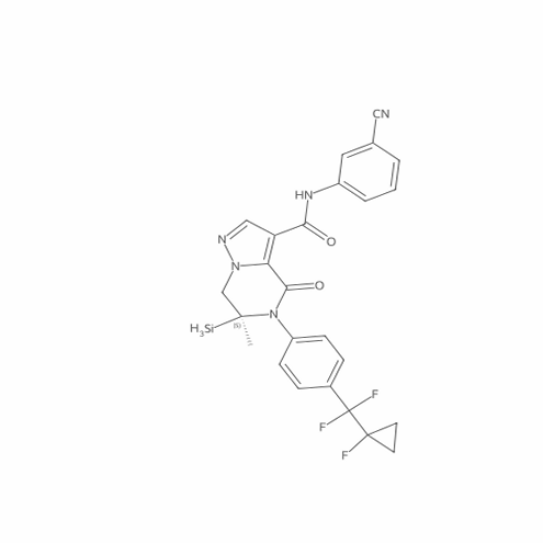 C[C@]1([SiH3])Cn2ncc(C(=O)Nc3cccc(C#N)c3)c2C(=O)N1c1ccc(C(F)(F)C2(F)CC2)cc1